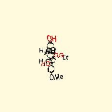 CCOCO[C@]12CC[C@](O)(c3ccc(OC)cc3)[C@@]1(C)CC[C@H]1[C@H]2CC=C2C[C@@H](O)CC[C@@]21C